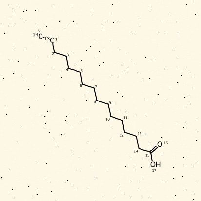 [13CH3][13CH2]CCCCCCCCCCCCCC(=O)O